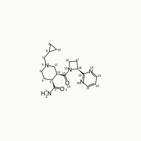 NC(=O)[C@H]1CCN(CC2CC2)C[C@H]1C(=O)N1CC[C@H]1c1ncccn1